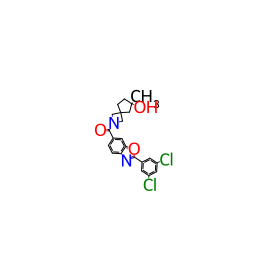 CC1(O)CCC2(CN(C(=O)c3ccc4nc(-c5cc(Cl)cc(Cl)c5)oc4c3)C2)C1